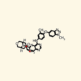 C=CC(=O)N1[C@@H]2COC[C@H]1CN(c1ncc3ncnc(Nc4ccc(Oc5ccc6c(c5)nnn6C)c(C)c4)c3n1)C2